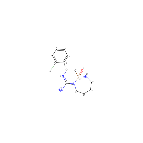 NC1=N[C@H](c2ccccc2F)CS2(=O)=NCCCCN12